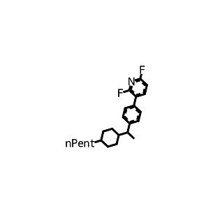 CCCCCC1CCC(C(C)c2ccc(-c3ccc(F)nc3F)cc2)CC1